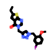 CCc1cc2c(=O)n(Cc3cn(Cc4cc(I)ccc4OC)nn3)cnc2s1